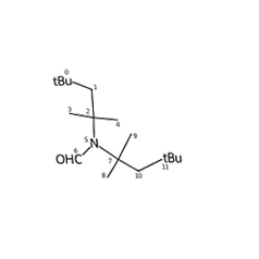 CC(C)(C)CC(C)(C)N(C=O)C(C)(C)CC(C)(C)C